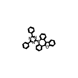 c1ccc(-c2nc(B3c4ccccc4-c4oc5ccccc5c4-c4ccccc43)nc(-c3ccccc3)n2)cc1